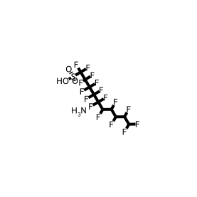 N.O=S(=O)(O)C(F)(F)C(F)(F)C(F)(F)C(F)(F)C(F)(F)C(F)C(F)C(F)C(F)C(F)F